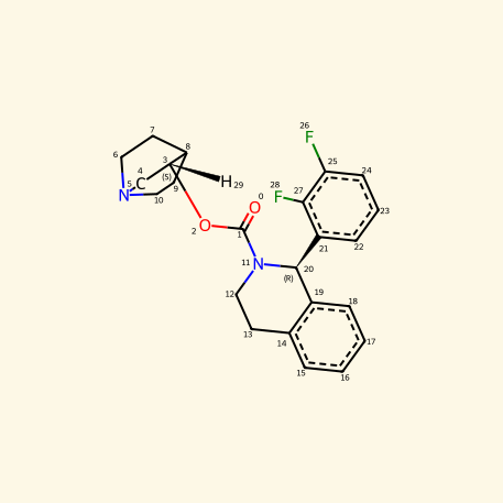 O=C(O[C@@H]1CN2CCC1CC2)N1CCc2ccccc2[C@@H]1c1cccc(F)c1F